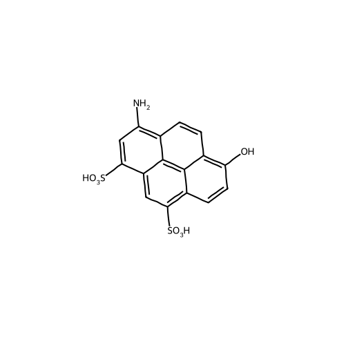 Nc1cc(S(=O)(=O)O)c2cc(S(=O)(=O)O)c3ccc(O)c4ccc1c2c43